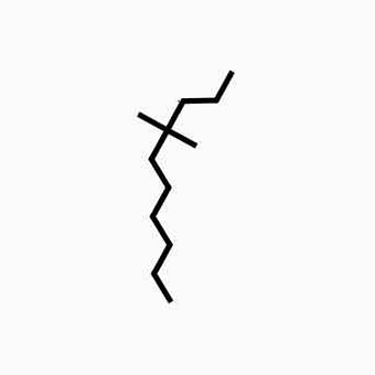 CC[CH]C(C)(C)CCCCCC